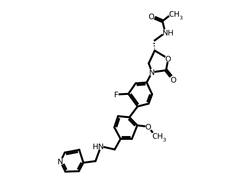 COc1cc(CNCc2ccncc2)ccc1-c1ccc(N2C[C@H](CNC(C)=O)OC2=O)cc1F